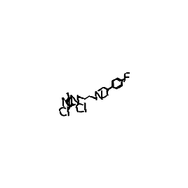 Cc1nc(Cl)c(Cl)n1CCCCN1CC=C(c2ccc(F)cc2)CC1